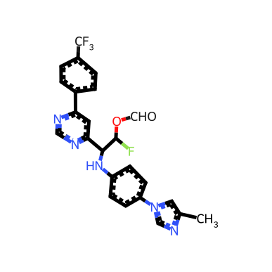 Cc1cn(-c2ccc(NC(c3cc(-c4ccc(C(F)(F)F)cc4)ncn3)C(F)OC=O)cc2)cn1